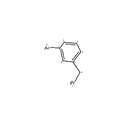 CC(=O)c1cccc(CC(C)C)c1